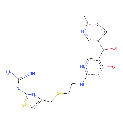 Cc1ccc(C(O)c2c[nH]c(NCCSCc3csc(NC(=N)N)n3)nc2=O)cn1